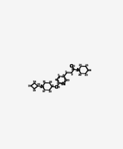 O=C(C=Cc1ccc(OC2CCN(C3CCC3)CC2)nc1)N1CCCCC1